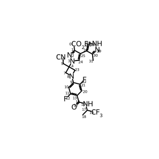 CCOC(=O)c1nn(C2(CC#N)CN(c3cc(F)c(C(=O)NC(C)C(F)(F)F)cc3F)C2)cc1-c1c[nH]nc1C